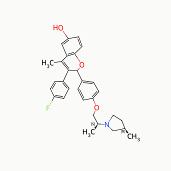 CC1=C(c2ccc(F)cc2)C(c2ccc(OC[C@H](C)N3CC[C@@H](C)C3)cc2)Oc2ccc(O)cc21